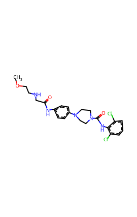 COCCNCC(=O)Nc1ccc(N2CCN(C(=O)Nc3c(Cl)cccc3Cl)CC2)cc1